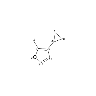 Cc1on[c]c1C1CC1